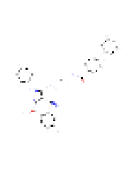 Cc1ccc(C(=O)c2nn(-c3ccc(Cl)cc3)c(NCCCNC(=O)c3ccc(-c4ccccc4)cc3)c2C#N)cc1